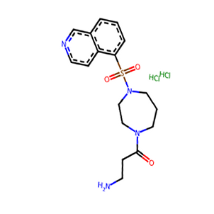 Cl.Cl.NCCC(=O)N1CCCN(S(=O)(=O)c2cccc3cnccc23)CC1